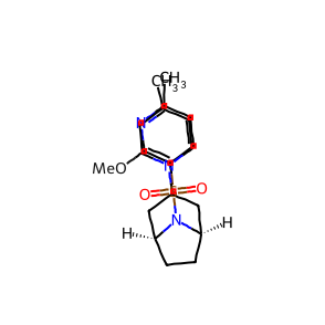 COc1nc(C)ccc1S(=O)(=O)N1[C@@H]2CC[C@H]1CC(N1CCC(C)CC1)C2